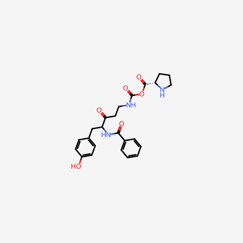 O=C(NCCC(=O)C(Cc1ccc(O)cc1)NC(=O)c1ccccc1)OC(=O)[C@@H]1CCCN1